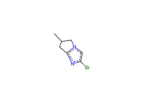 CC1Cc2nc(Br)cn2C1